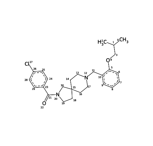 CC(C)COc1ccccc1CN1CCC2(CC1)CCN(C(=O)c1ccc(Cl)cc1)C2